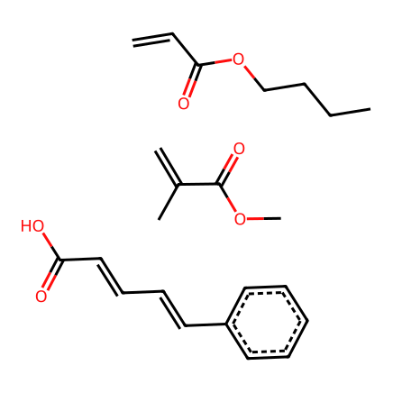 C=C(C)C(=O)OC.C=CC(=O)OCCCC.O=C(O)C=CC=Cc1ccccc1